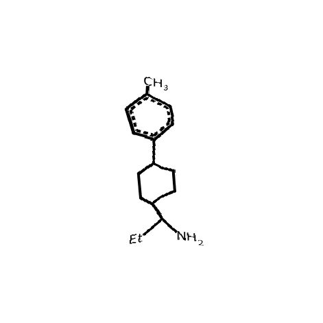 CCC(N)C1CCC(c2ccc(C)cc2)CC1